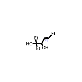 [CH2]C/C=C/C(O)C(O)(CC)CC